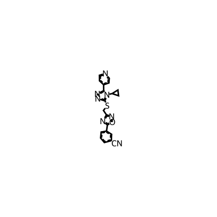 N#Cc1cccc(-c2nc(CSc3nnc(-c4ccncc4)n3C3CC3)no2)c1